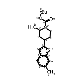 Cc1ccc2cc(C3CCN(C(=O)OC(C)(C)C)C(C)C3)sc2c1